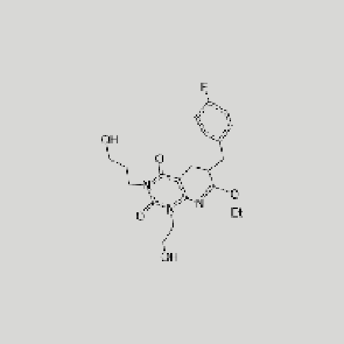 CCOC1=Nc2c(c(=O)n(CCCO)c(=O)n2CCO)CC1Cc1ccc(F)cc1